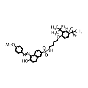 CCC(C)(C)c1ccc(OCCCCNS(=O)(=O)c2ccc3c(N=Nc4ccc(OC)cc4)c(O)ccc3c2)c(C(C)(C)CC)c1